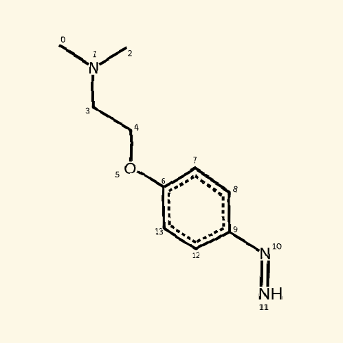 CN(C)CCOc1ccc(N=N)cc1